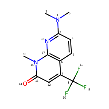 CN(C)c1ccc2c(C(F)(F)F)cc(=O)n(C)c2n1